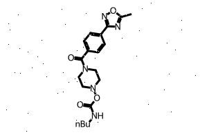 CCCCNC(=O)ON1CCN(C(=O)c2ccc(-c3noc(C)n3)cc2)CC1